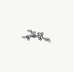 CCCCC1(CCCC)CN(c2ccccc2)c2cc(SC)c(OCC(=O)N[C@@H](C(=O)NCCCS(=O)(=O)CC(=O)O)c3ccc(O)cc3)cc2S(=O)(=O)C1